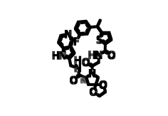 CC(c1cccc(F)c1)c1ccc(C(=O)NCC(=O)N2CC3(C[C@H]2C(=O)NCc2cc4cnccc4[nH]2)OCCO3)s1